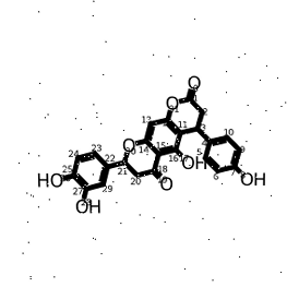 O=C1CC(c2ccc(O)cc2)c2c(cc3c(c2O)C(=O)CC(c2ccc(O)c(O)c2)O3)O1